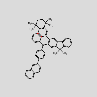 CC1(C)CCC(C)(C)c2cc(-c3cc4c(cc3N(c3ccccc3)c3ccc(-c5ccc6ccccc6c5)cc3)C(C)(C)c3ccccc3-4)ccc21